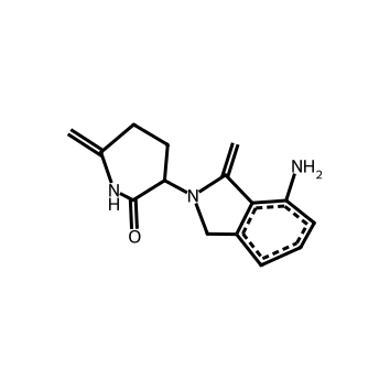 C=C1CCC(N2Cc3cccc(N)c3C2=C)C(=O)N1